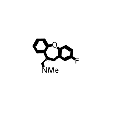 CNC[C@@H]1Cc2cc(F)ccc2Oc2ccccc21